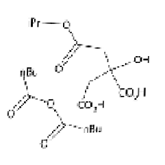 CC(C)OC(=O)CC(O)(CC(=O)O)C(=O)O.CCCCC(=O)OC(=O)CCCC